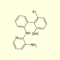 CCc1cccc(C=O)c1-c1ccccc1Nc1ncccc1N